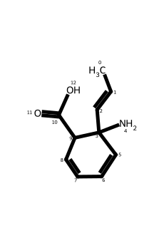 CC=CC1(N)C=CC=CC1C(=O)O